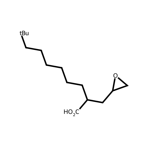 CC(C)(C)CCCCCCC(CC1CO1)C(=O)O